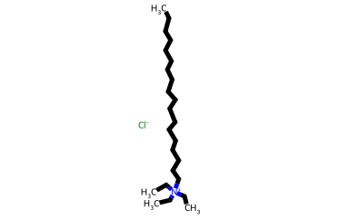 CCCCCCCCCCCCCCCCCC[N+](CC)(CC)CC.[Cl-]